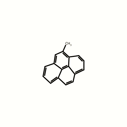 Cc1cc2cccc3ccc4cc[c]c1c4c32